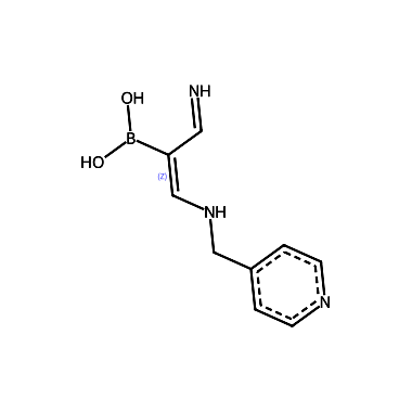 N=C/C(=C\NCc1ccncc1)B(O)O